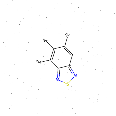 [2H]c1cc2nsnc2c([2H])c1[2H]